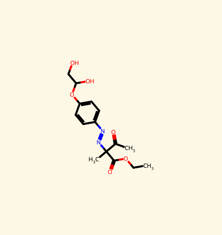 CCOC(=O)C(C)(N=Nc1ccc(OC(O)CO)cc1)C(C)=O